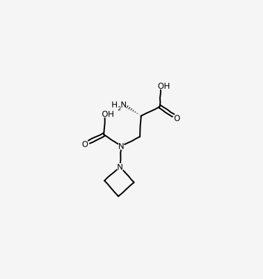 N[C@@H](CN(C(=O)O)N1CCC1)C(=O)O